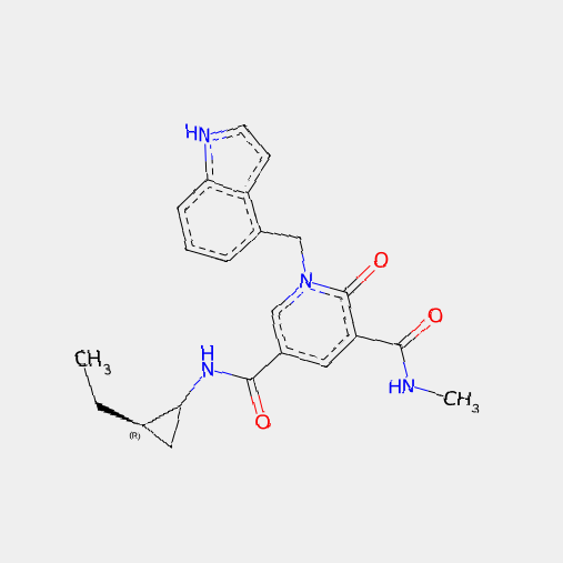 CC[C@@H]1CC1NC(=O)c1cc(C(=O)NC)c(=O)n(Cc2cccc3[nH]ccc23)c1